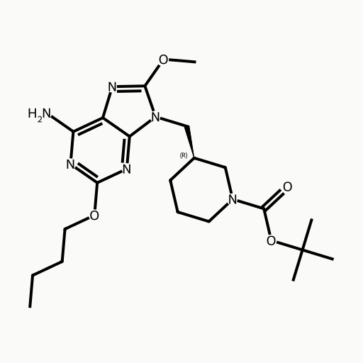 CCCCOc1nc(N)c2nc(OC)n(C[C@@H]3CCCN(C(=O)OC(C)(C)C)C3)c2n1